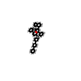 C1=CC(c2ccc(N(c3ccc(-c4ccccc4)cc3)c3ccccc3-c3ccc4c(c3)-c3cccc5cccc(c35)O4)cc2)CC=C1c1ccccc1